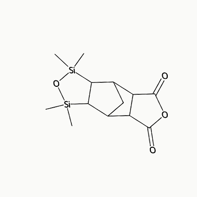 C[Si]1(C)O[Si](C)(C)C2C3CC(C4C(=O)OC(=O)C34)C21